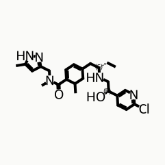 CC[C@@H](CC1=CC=C(C(=O)N(C)Cc2cc(C)[nH]n2)C(C)C1)NC[C@H](O)c1ccc(Cl)nc1